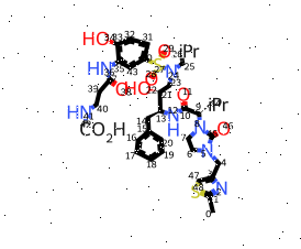 Cc1nc(CN2CCN([C@H](C(=O)N[C@@H](Cc3ccccc3)[C@H](O)CN(CC(C)C)S(=O)(=O)c3ccc(O)c(NC(=O)CCNC(=O)O)c3)C(C)C)C2=O)cs1